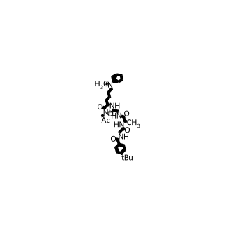 CC(=O)CNC(=O)C(CCCCN(C)C1CC2CCC1C2)NC(=O)CNC(=O)C(C)NC(=O)CNC(=O)c1ccc(C(C)(C)C)cc1